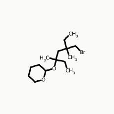 CCC(C)(CBr)CC(C)(CC)OC1CCCCO1